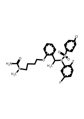 CC(c1ccccc1OCCCCN(C)C(N)=O)N(c1cc(F)ccc1F)S(=O)(=O)c1ccc(Cl)cc1